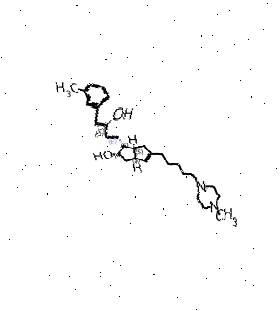 Cc1cccc(C[C@H](O)/C=C/[C@@H]2[C@H]3CC(CCCCCN4CCN(C)CC4)=C[C@H]3C[C@H]2O)c1